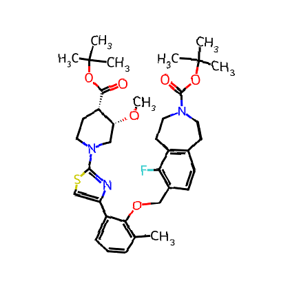 CO[C@@H]1CN(c2nc(-c3cccc(C)c3OCc3ccc4c(c3F)CCN(C(=O)OC(C)(C)C)CC4)cs2)CC[C@@H]1C(=O)OC(C)(C)C